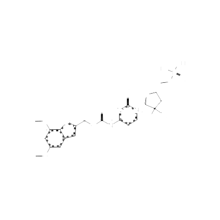 COc1cc(OC)c2sc(COC(=O)Nc3ccn([C@@H]4O[C@H](COP(=O)(O)O)CC4(F)F)c(=O)n3)cc2c1